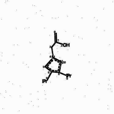 C=C(O)Cn1cc(C(C)C)c(C(C)C)n1